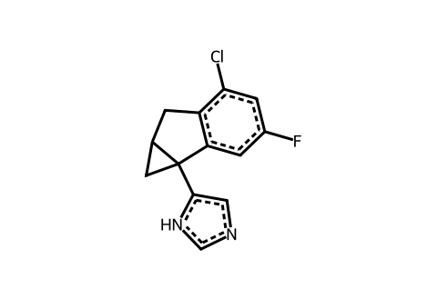 Fc1cc(Cl)c2c(c1)C1(c3cnc[nH]3)CC1C2